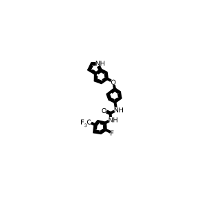 O=C(Nc1ccc(Oc2ccc3cc[nH]c3c2)cc1)Nc1cc(C(F)(F)F)ccc1F